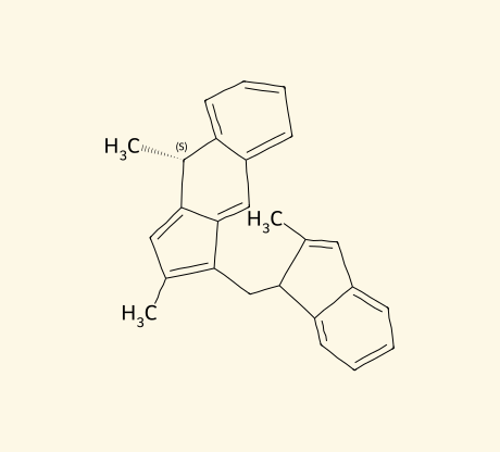 CC1=Cc2ccccc2C1CC1=C(C)C=C2C1=Cc1ccccc1[C@H]2C